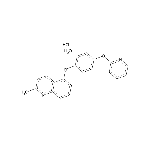 Cc1ccc2c(Nc3ccc(Oc4ccccn4)cc3)ccnc2n1.Cl.O